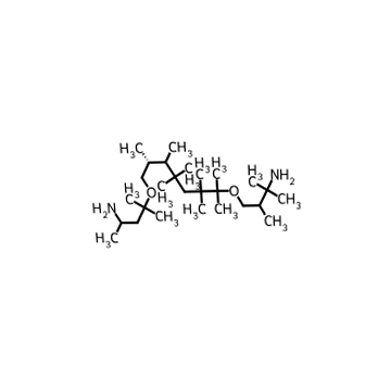 CC(N)CC(C)(C)OC[C@H](C)C(C)C(C)(C)CC(C)(C)C(C)(C)OCC(C)C(C)(C)N